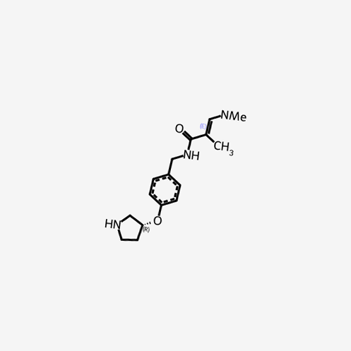 CN/C=C(\C)C(=O)NCc1ccc(O[C@@H]2CCNC2)cc1